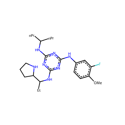 CCCC(CCC)Nc1nc(Nc2ccc(OC)c(F)c2)nc(NC(CC)C2CCCN2)n1